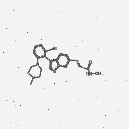 CCc1cccc(N2CCN(C)CC2)c1-n1cnc2cc(C=CC(=O)NO)ccc21